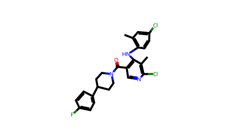 Cc1cc(Cl)ccc1Nc1c(C(=O)N2CCC(c3ccc(F)cc3)CC2)cnc(Cl)c1C